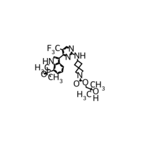 CC(C)(O)COC(=O)N1CC2(CC(Nc3ncc(C(F)(F)F)c(-c4c[nH]c5c(P(C)(C)=O)cccc45)n3)C2)C1